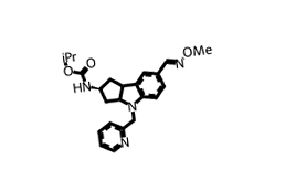 CO/N=C/c1ccc2c(c1)C1C[C@H](NC(=O)OC(C)C)CC1N2Cc1ccccn1